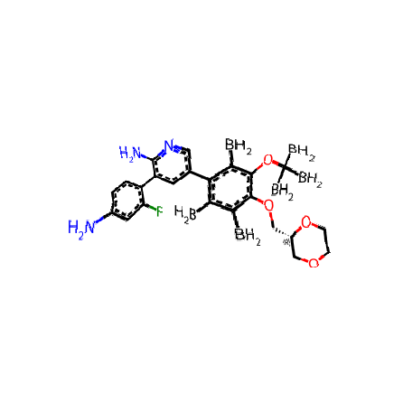 Bc1c(B)c(-c2cnc(N)c(-c3ccc(N)cc3F)c2)c(B)c(OC(B)(B)B)c1OC[C@H]1COCCO1